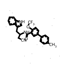 Cc1ccc(-c2ccc(OC(F)(F)F)c(C(=O)NC(CC#N)Cc3c[nH]c4ccccc34)c2)cc1